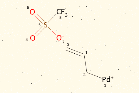 C=C[CH2][Pd+].O=S(=O)([O-])C(F)(F)F